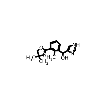 Cc1c(C2=NC(C)(C)CO2)cccc1C(O)c1c[nH]cn1